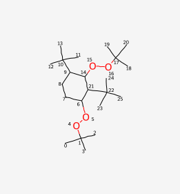 CC(C)(C)OOC1CCC(C(C)(C)C)C(OOC(C)(C)C)C1C(C)(C)C